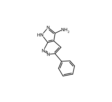 Nc1n[nH]c2nnc(-c3ccccc3)cc12